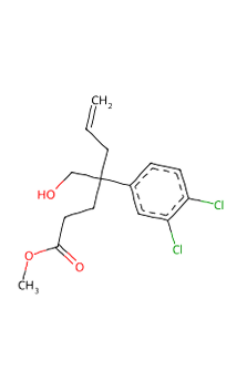 C=CCC(CO)(CCC(=O)OC)c1ccc(Cl)c(Cl)c1